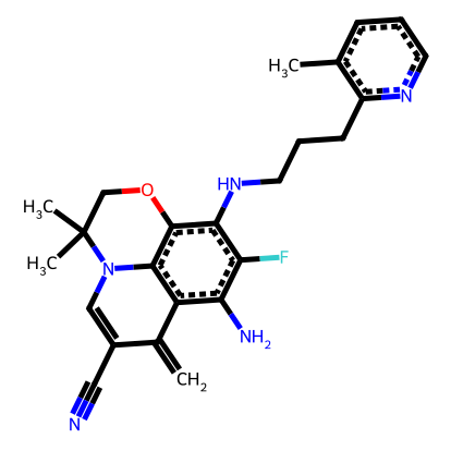 C=C1C(C#N)=CN2c3c(c(NCCCc4ncccc4C)c(F)c(N)c31)OCC2(C)C